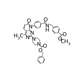 COC(=O)c1ccc(CNC(=O)c2ccc(-n3c(=O)ccc4c(C)nc(N5CCN(C(=O)OCc6ccccc6)CC5)nc43)cc2)cc1